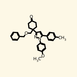 COc1ccc(-n2nc(C3(COCc4ccccc4)CCC(=O)CC3)cc2-c2ccc(C)cc2)cc1